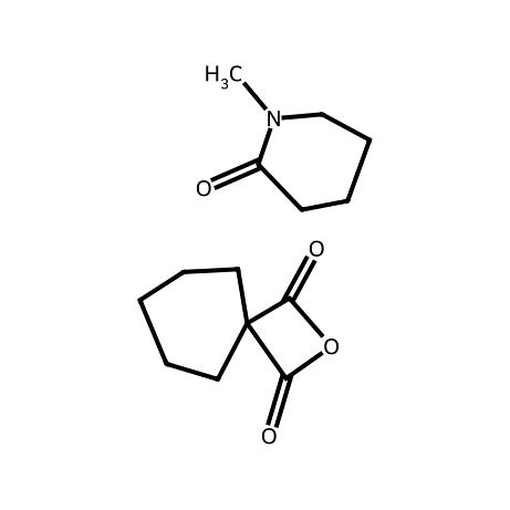 CN1CCCCC1=O.O=C1OC(=O)C12CCCCC2